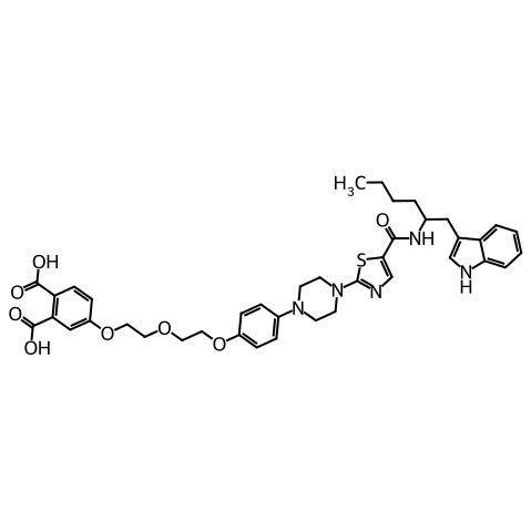 CCCCC(Cc1c[nH]c2ccccc12)NC(=O)c1cnc(N2CCN(c3ccc(OCCOCCOc4ccc(C(=O)O)c(C(=O)O)c4)cc3)CC2)s1